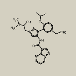 CN(C)C(O)Cn1cc(NC(=O)c2cnn3cccnc23)c(-c2cc(CC=O)ccc2OC(F)F)n1